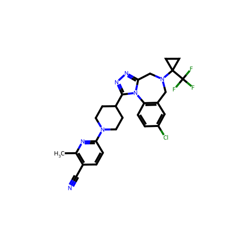 Cc1nc(N2CCC(c3nnc4n3-c3ccc(Cl)cc3CN(C3(C(F)(F)F)CC3)C4)CC2)ccc1C#N